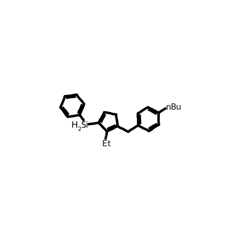 CCCCc1ccc(CC2=C(CC)C([SiH2]c3ccccc3)=CC2)cc1